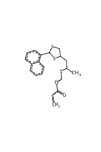 C=CC(=O)OCSC(C)CC1CSC(c2cccc3ccccc23)S1